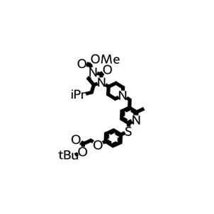 COC(=O)N1CC(CC(C)C)N(C2CCN(Cc3ccc(Sc4ccc(OCC(=O)OC(C)(C)C)cc4)nc3C)CC2)C1=O